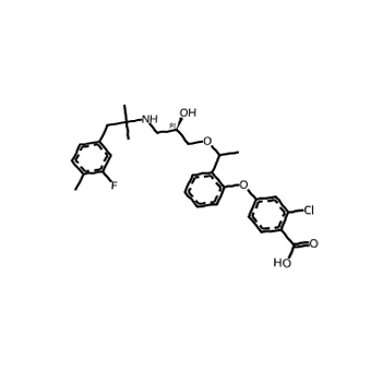 Cc1ccc(CC(C)(C)NC[C@@H](O)COC(C)c2ccccc2Oc2ccc(C(=O)O)c(Cl)c2)cc1F